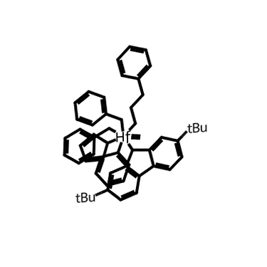 [CH2]=[Hf]([CH2]CCc1ccccc1)([CH2]c1ccccc1)([CH2]c1ccccc1)([c]1ccccc1)([CH]1C=CC=C1)[CH]1c2cc(C(C)(C)C)ccc2-c2ccc(C(C)(C)C)cc21